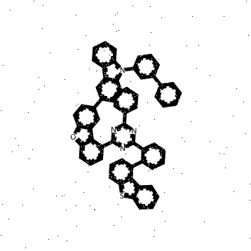 c1ccc(-c2cccc(-n3c4ccccc4c4cc(-c5ccc6oc7cccc(-c8nc(-c9ccccc9)nc(-c9ccccc9-c9cccc%10sc%11ccccc%11c9%10)n8)c7c6c5)ccc43)c2)cc1